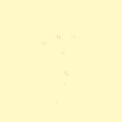 Cc1cn(Cc2ccccc2)c2c1C(=O)N(CCCN1CCN(c3ccc(F)cc3)CC1)CCC2O